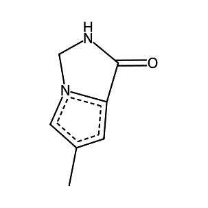 Cc1cc2n(c1)CNC2=O